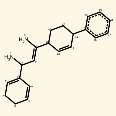 N/C(=C\C(N)C1=CCCC=C1)C1C=CC(c2ccccc2)CC1